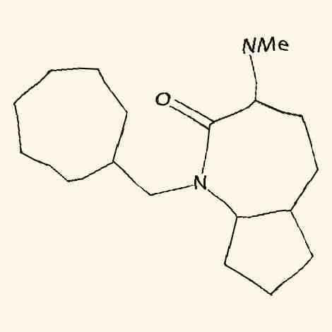 CNC1CCC2CCCC2N(CC2CCCCCC2)C1=O